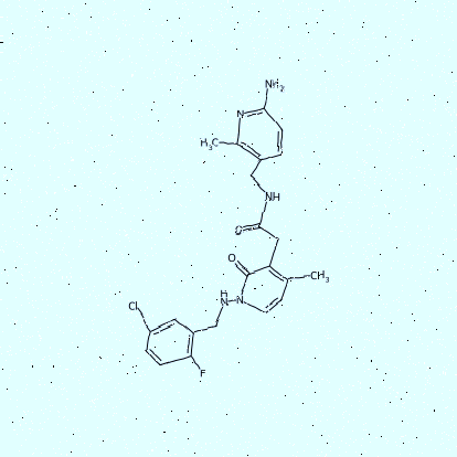 Cc1ccn(NCc2cc(Cl)ccc2F)c(=O)c1CC(=O)NCc1ccc(N)nc1C